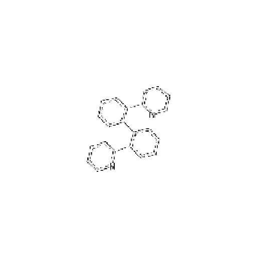 c1ccc(-c2ccccc2-c2ccccc2-c2ccccn2)nc1